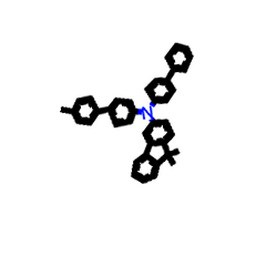 Cc1ccc(-c2ccc(N(c3ccc(-c4ccccc4)cc3)c3ccc4c(c3)-c3ccccc3C4(C)C)cc2)cc1